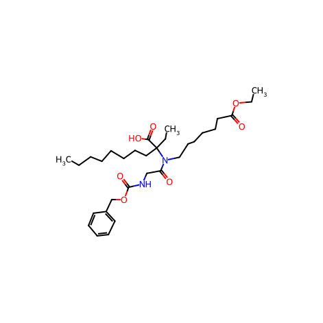 CCCCCCCCC(CC)(C(=O)O)N(CCCCCCC(=O)OCC)C(=O)CNC(=O)OCc1ccccc1